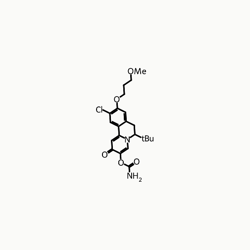 COCCCOc1cc2c(cc1Cl)-c1cc(=O)c(OC(N)=O)cn1C(C(C)(C)C)C2